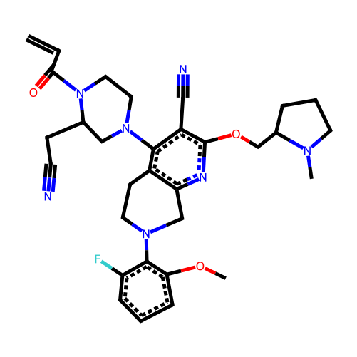 C=CC(=O)N1CCN(c2c(C#N)c(OCC3CCCN3C)nc3c2CCN(c2c(F)cccc2OC)C3)CC1CC#N